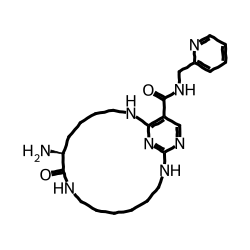 N[C@H]1CCCCNc2nc(ncc2C(=O)NCc2ccccn2)NCCCCCCNC1=O